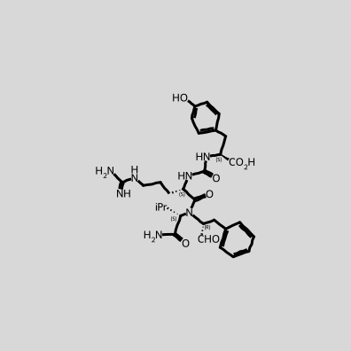 CC(C)[C@@H](C(N)=O)N(C(=O)[C@H](CCCNC(=N)N)NC(=O)N[C@@H](Cc1ccc(O)cc1)C(=O)O)[C@@H](C=O)Cc1ccccc1